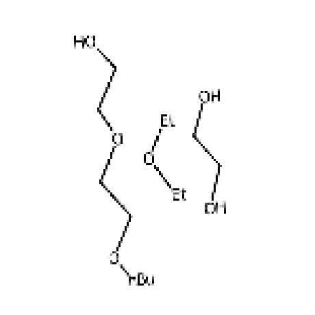 CCCCOCCOCCO.CCOCC.OCCO